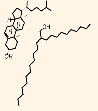 CC(C)CCCC(C)[C@H]1CC[C@H]2[C@@H]3CC=C4C[C@@H](O)CC[C@]4(C)[C@H]3CC[C@]12C.CCCCCCCCCCCCC(CO)CCCCCCCCCC